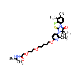 Cc1nc(OCCCCCOCCCOCC(=O)NC(C)C(C)(C)C)ccc1N1C(=S)N(c2ccc(C#N)c(C(F)(F)F)c2F)C(=O)C1(C)C